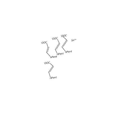 CCCCCC=CC(=O)[O-].CCCCCC=CC(=O)[O-].CCCCCC=CC(=O)[O-].CCCCCC=CC(=O)[O-].[Sn+4]